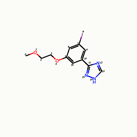 COCCOc1cc(I)cc(-c2nc[nH]n2)c1